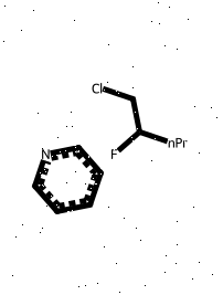 CCCC(F)CCl.c1ccncc1